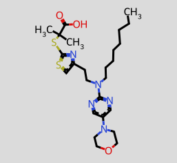 CCCCCCCCN(CCc1csc(SC(C)(C)C(=O)O)n1)c1ncc(N2CCOCC2)cn1